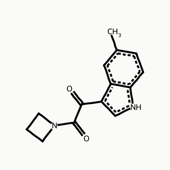 Cc1ccc2[nH]cc(C(=O)C(=O)N3CCC3)c2c1